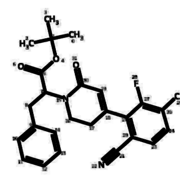 CC(C)(C)OC(=O)C(Cc1ccccc1)N1CCC(c2c(C#N)ccc(Cl)c2F)=CC1=O